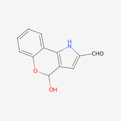 O=Cc1cc2c([nH]1)-c1ccccc1OC2O